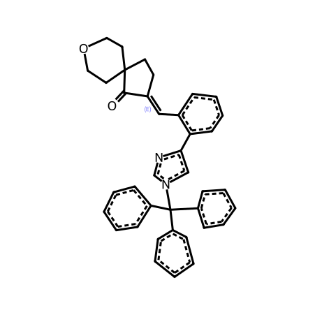 O=C1/C(=C/c2ccccc2-c2cn(C(c3ccccc3)(c3ccccc3)c3ccccc3)cn2)CCC12CCOCC2